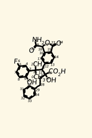 CC(C)(c1cc(F)ccc1O)C(c1ccc2c(c1)C(C(N)=O)OC2=O)C(O)(CCc1ccccc1)C(=O)O